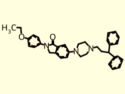 CCOc1ccc(N2Cc3ccc(N4CCN(CCC(c5ccccc5)c5ccccc5)CC4)cc3C2=O)cc1